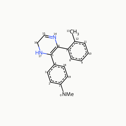 CNc1ccc(C2=C(c3ccccc3C)N=CCN2)cc1